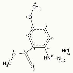 COC(=O)c1cc(OC)ccc1NN.Cl